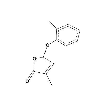 CC1=CC(Oc2ccccc2C)OC1=O